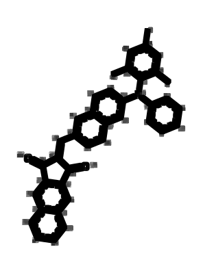 Cc1cc(C)c(N(c2ccccc2)c2ccc3cc(C=C4C(=O)c5cc6ccccc6cc5C4=O)ccc3c2)c(C)c1